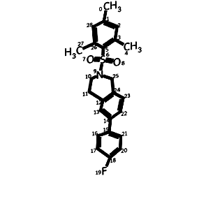 Cc1cc(C)c(S(=O)(=O)N2CCc3cc(-c4ccc(F)cc4)ccc3C2)c(C)c1